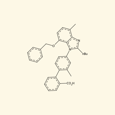 CCCCc1nc2c(C)ccc(OCc3ccccc3)c2n1-c1ccc(-c2ccccc2C(=O)O)c(C)c1